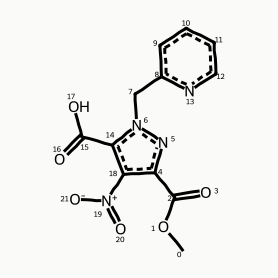 COC(=O)c1nn(Cc2ccccn2)c(C(=O)O)c1[N+](=O)[O-]